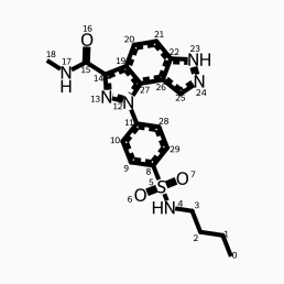 CCCCNS(=O)(=O)c1ccc(-n2nc(C(=O)NC)c3ccc4[nH]ncc4c32)cc1